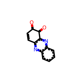 O=C1C=Cc2nc3ccccc3nc2C1=O